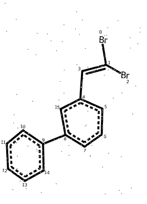 BrC(Br)=Cc1cccc(-c2ccccc2)c1